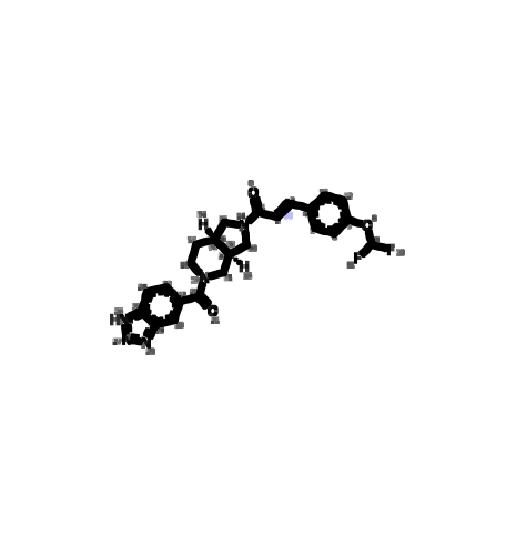 O=C(/C=C/c1ccc(OC(F)F)cc1)N1C[C@H]2CCN(C(=O)c3ccc4[nH]nnc4c3)C[C@@H]2C1